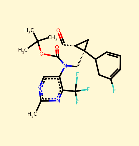 Cc1ncc(N(C[C@@]2(C3C=CC=C(F)C3)C[C@H]2C=O)C(=O)OC(C)(C)C)c(C(F)(F)F)n1